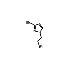 CC(C)CCn1ccc(C(C)(C)C)n1